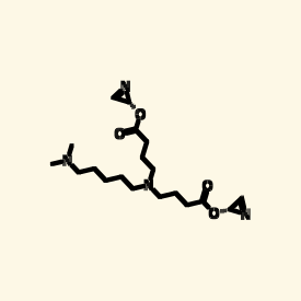 CN(C)CCCCCN(CCCC(=O)O[C@@H]1C=N1)CCCC(=O)O[C@@H]1C=N1